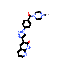 CCCCN1CCN(C(=O)c2ccc(-n3cc(-c4cc5cccnc5[nH]c4=O)nn3)cc2)CC1